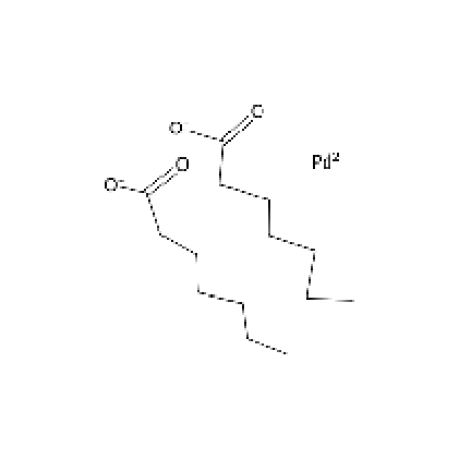 CCCCCCC(=O)[O-].CCCCCCC(=O)[O-].[Pd+2]